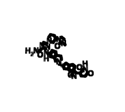 CN1CCN([C@@H]2CCCN(c3cnc(C(N)=O)c(Nc4ccc5c(c4)CN(C[C@H]4Cc6ccc7c(C8CCC(=O)NC8=O)noc7c6C4)CC5)n3)C2)C1=O